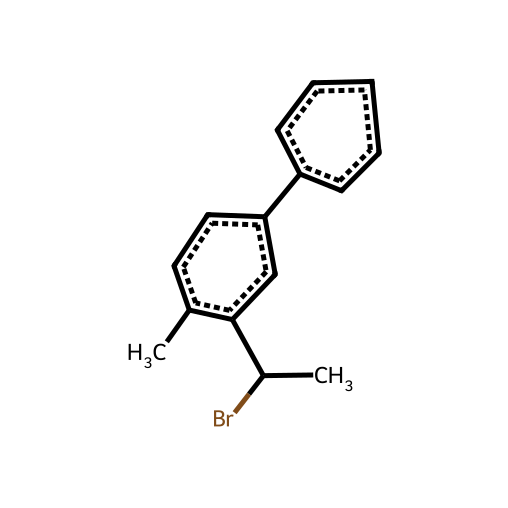 Cc1ccc(-c2ccccc2)cc1C(C)Br